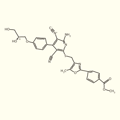 [C-]#[N+]c1c(N)nc(SCc2nc(-c3ccc(C(=O)OC)cc3)oc2C)c(C#N)c1-c1ccc(OC[C@@H](O)CO)cc1